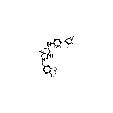 Cc1nn(C)cc1-c1ccc(NC2C[C@@H]3CN(Cc4ccc5c(c4)OCO5)C[C@@H]3C2)nn1